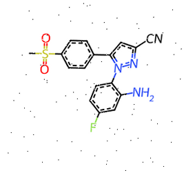 CS(=O)(=O)c1ccc(-c2cc(C#N)nn2-c2ccc(F)cc2N)cc1